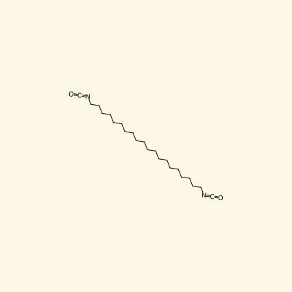 O=C=NCCCCCCCCCCCCCCCCCCCCN=C=O